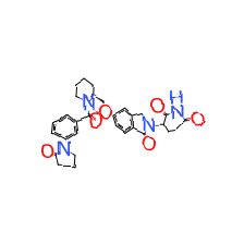 O=C1CCC(N2Cc3cc(OC[C@@H]4CCCCN4C(=O)c4cccc(N5CCCC5=O)c4)ccc3C2=O)C(=O)N1